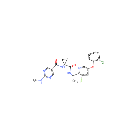 CNc1ncc(C(=O)NC2(C(=O)NC(C)c3ncc(Oc4ccccc4Cl)cc3F)CC2)cn1